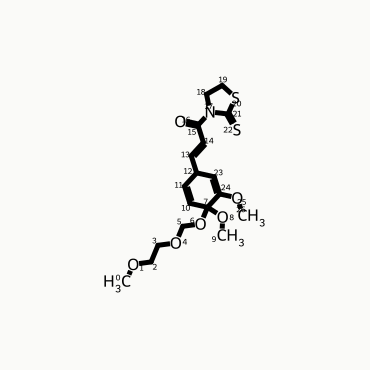 COCCOCOC1(OC)C=CC(/C=C/C(=O)N2CCSC2=S)C=C1OC